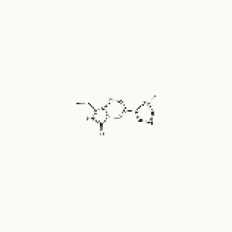 CCn1[nH]c(=O)c2cc(-c3cncc(C)c3)cnc21